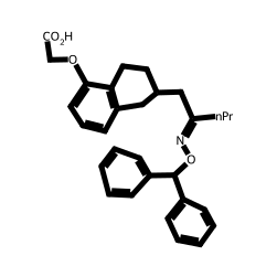 CCCC(CC1CCc2c(cccc2OCC(=O)O)C1)=NOC(c1ccccc1)c1ccccc1